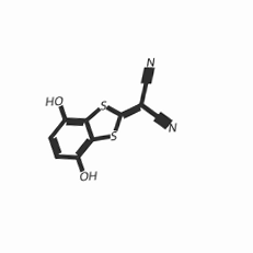 N#CC(C#N)=C1Sc2c(O)ccc(O)c2S1